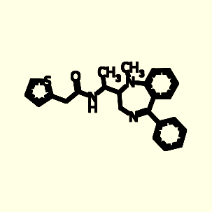 CC(NC(=O)Cc1cccs1)C1CN=C(c2ccccc2)c2ccccc2N1C